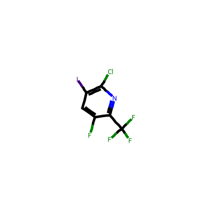 Fc1cc(I)c(Cl)nc1C(F)(F)F